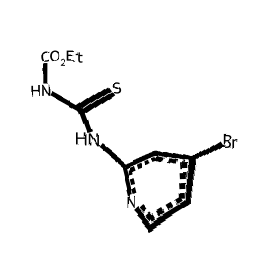 CCOC(=O)NC(=S)Nc1cc(Br)ccn1